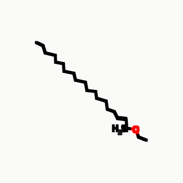 CCCCCCCCCCCCCCCCC=C[SiH2]OCC